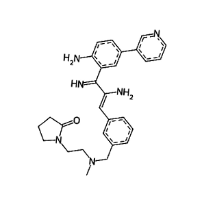 CN(CCN1CCCC1=O)Cc1cccc(/C=C(\N)C(=N)c2cc(-c3cccnc3)ccc2N)c1